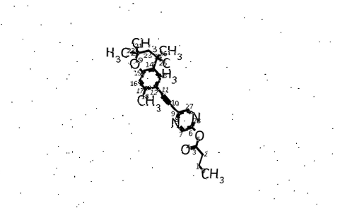 CCCC(=O)Oc1cnc(C#Cc2cc3c(cc2C)OC(C)(C)CC3(C)C)cn1